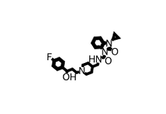 O=C(NCC1CCN(CCC(O)c2ccc(F)cc2)CC1)n1c(=O)n(C2CC2)c2ccccc21